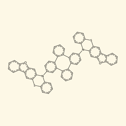 c1ccc2c(c1)Sc1cc3c(cc1N2c1ccc2c(c1)-c1ccccc1-c1ccc(N4c5ccccc5Sc5cc6c(cc54)oc4ccccc46)cc1-c1ccccc1-2)oc1ccccc13